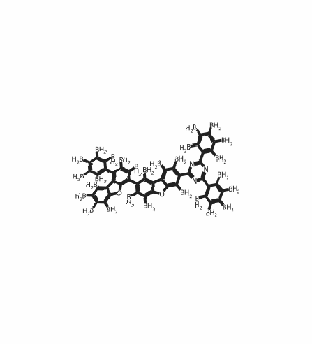 Bc1c(B)c(B)c(-c2nc(-c3c(B)c(B)c(B)c(B)c3B)nc(-c3c(B)c(B)c4c(oc5c(B)c(B)c(-c6c(B)c(B)c(-c7c(B)c(B)c(B)c(B)c7B)c7c6oc6c(B)c(B)c(B)c(B)c67)c(B)c54)c3B)n2)c(B)c1B